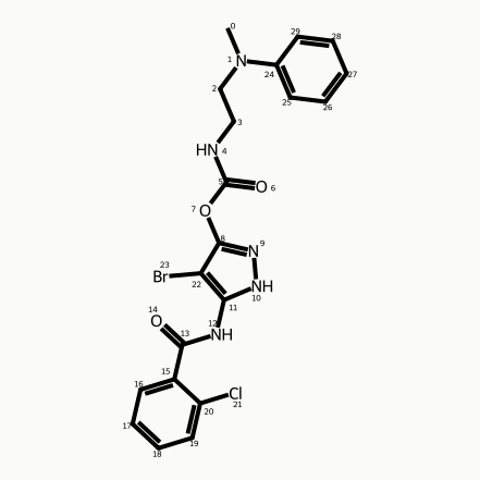 CN(CCNC(=O)Oc1n[nH]c(NC(=O)c2ccccc2Cl)c1Br)c1ccccc1